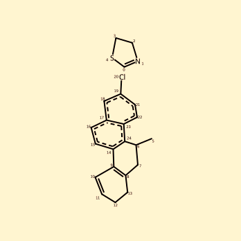 C1=NCCS1.CC1CC2=C(C=CCC2)c2ccc3cc(Cl)ccc3c21